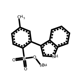 CCCCOS(=O)(=O)c1ccc(C)cc1-c1c[nH]c2ccccc12